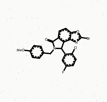 COc1ccc(CN2C(=O)c3ccc4oc(Br)nc4c3C2c2cc(F)ccc2Cl)cc1